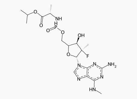 CNc1nc(N)nc2c1ncn2[C@@H]1OC(CO[PH](=O)N[C@@H](C)C(=O)OC(C)C)[C@@H](O)[C@@]1(C)F